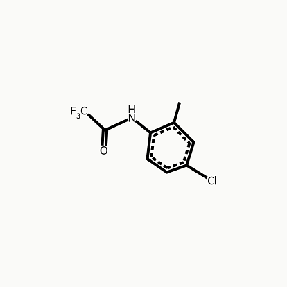 Cc1cc(Cl)ccc1NC(=O)C(F)(F)F